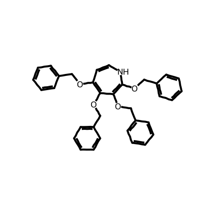 C1=CC(OCc2ccccc2)=C(OCc2ccccc2)C(OCc2ccccc2)=C(OCc2ccccc2)N1